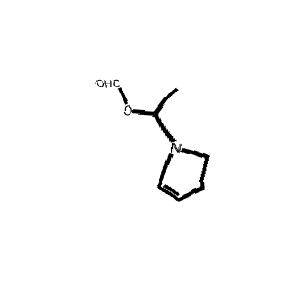 CC(O[C]=O)N1C=CCC1